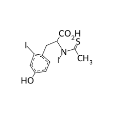 CC(=S)N(I)C(Cc1ccc(O)cc1I)C(=O)O